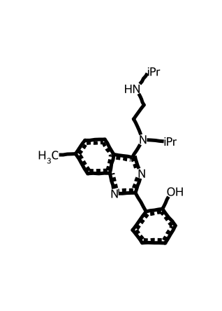 Cc1ccc2c(N(CCNC(C)C)C(C)C)nc(-c3ccccc3O)nc2c1